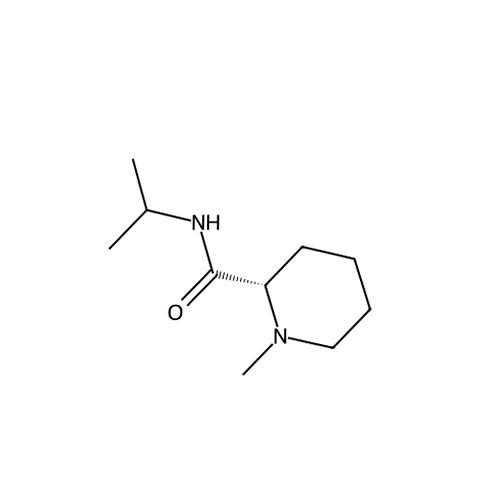 CC(C)NC(=O)[C@@H]1CCCCN1C